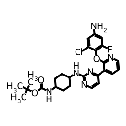 CC(C)(C)OC(=O)NC1CCC(Nc2nccc(-c3cccnc3Oc3c(F)cc(N)cc3Cl)n2)CC1